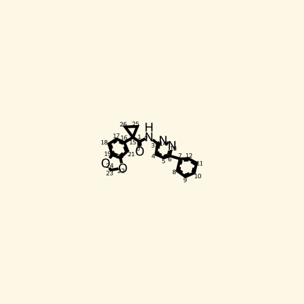 O=C(Nc1ccc(-c2ccccc2)nn1)C1(c2ccc3c(c2)OCO3)CC1